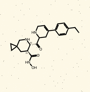 CCc1ccc(C2=CCNC(C(=O)[C@H]3NCC4(CC4)C[C@@H]3C(=O)NO)C2)cc1